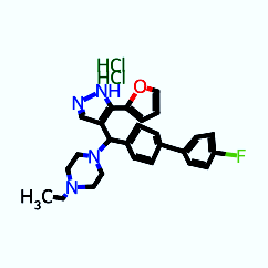 CCN1CCN(C(c2ccc(-c3ccc(F)cc3)cc2)c2cn[nH]c2-c2ccco2)CC1.Cl.Cl